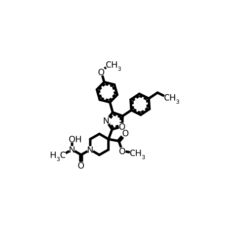 CCc1ccc(-c2oc(C3(C(=O)OC)CCN(C(=O)N(C)O)CC3)nc2-c2ccc(OC)cc2)cc1